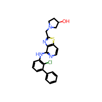 O[C@@H]1CCN(Cc2nc3c(Nc4cccc(-c5ccccc5)c4Cl)nccc3s2)C1